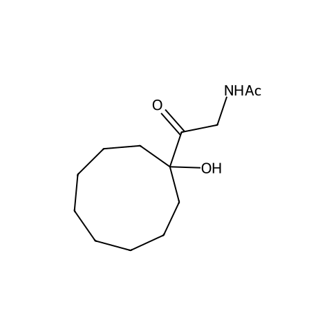 CC(=O)NCC(=O)C1(O)CCCCCCCC1